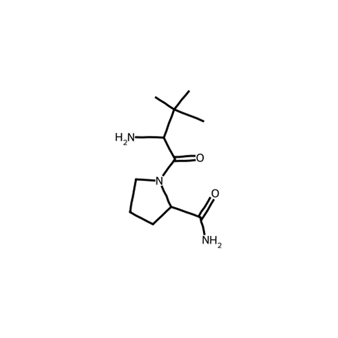 CC(C)(C)C(N)C(=O)N1CCCC1C(N)=O